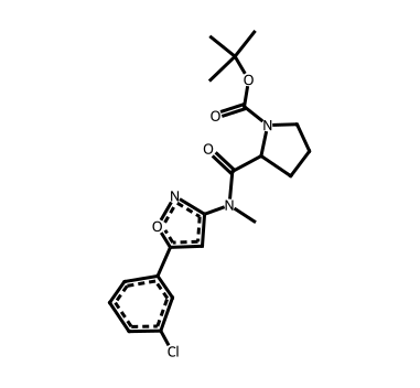 CN(C(=O)C1CCCN1C(=O)OC(C)(C)C)c1cc(-c2cccc(Cl)c2)on1